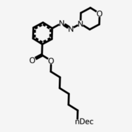 CCCCCCCCCCCCCCCCOC(=O)c1cccc(N=NN2CCOCC2)c1